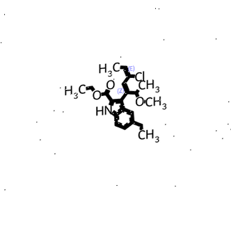 C/C=C(Cl)\C=C(\c1c(C(=O)OCC)[nH]c2ccc(CC)cc12)C(C)OC